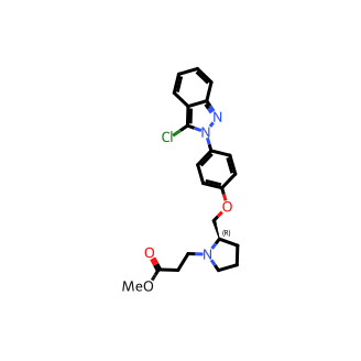 COC(=O)CCN1CCC[C@@H]1COc1ccc(-n2nc3ccccc3c2Cl)cc1